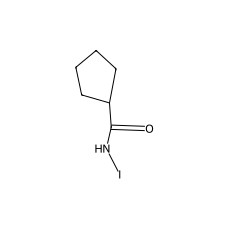 O=C(NI)C1CCCC1